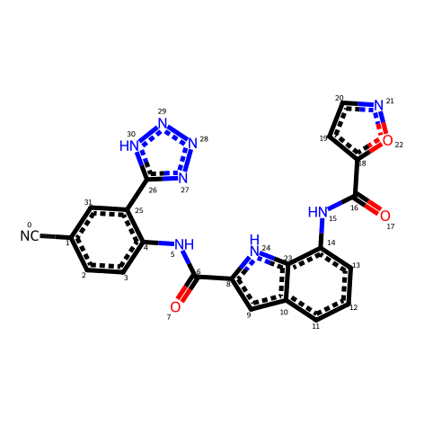 N#Cc1ccc(NC(=O)c2cc3cccc(NC(=O)c4ccno4)c3[nH]2)c(-c2nnn[nH]2)c1